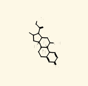 CC(=O)OCC(=O)[C]1C(C)C[C@H]2[C@@H]3CCC4=CC(=O)C=C[C@]4(C)[C@@]3(F)C(O)C[C@]12C